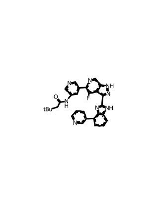 CC(C)(C)CC(=O)Nc1cncc(-c2ncc3[nH]nc(-c4nc5c(-c6cccnc6)cccc5[nH]4)c3c2F)c1